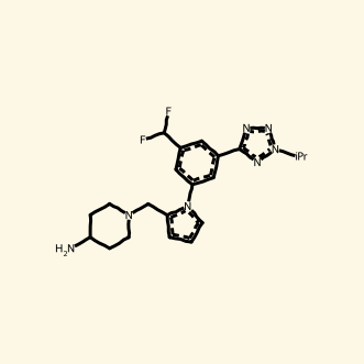 CC(C)n1nnc(-c2cc(C(F)F)cc(-n3cccc3CN3CCC(N)CC3)c2)n1